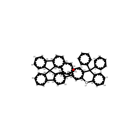 c1ccc(C2(c3ccccc3)c3ccccc3Oc3cc(-c4ccc5c(c4)C4(c6ccccc6-5)c5ccccc5-c5ccc6ccccc6c54)ccc32)cc1